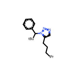 CC(C)CCCc1cnnn1C(c1ccccc1)C(C)(C)C